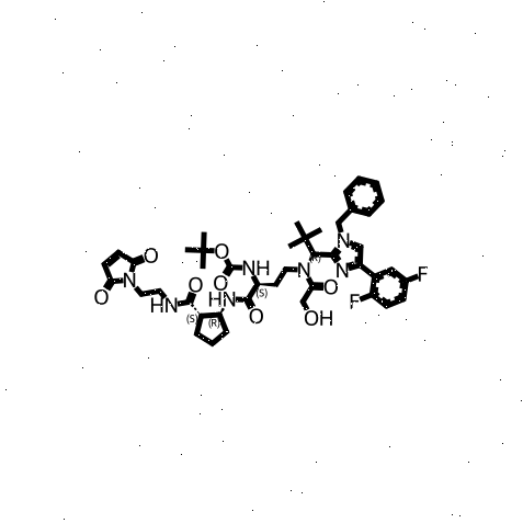 CC(C)(C)OC(=O)N[C@@H](CCN(C(=O)CO)[C@@H](c1nc(-c2cc(F)ccc2F)cn1Cc1ccccc1)C(C)(C)C)C(=O)N[C@@H]1CCC[C@@H]1C(=O)NCCN1C(=O)C=CC1=O